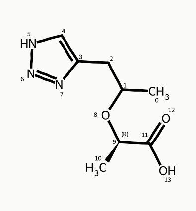 CC(Cc1c[nH]nn1)O[C@H](C)C(=O)O